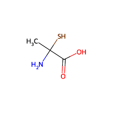 CC(N)(S)C(=O)O